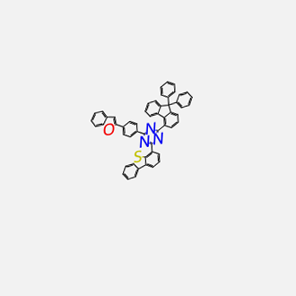 c1ccc(C2(c3ccccc3)c3ccccc3-c3c(-c4nc(-c5ccc(-c6cc7ccccc7o6)cc5)nc(-c5cccc6c5sc5ccccc56)n4)cccc32)cc1